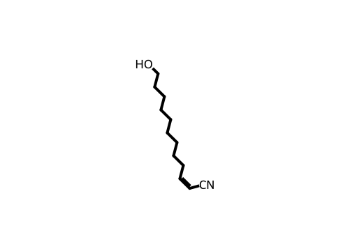 N#C/C=C\CCCCCCCCCO